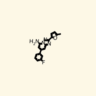 Cc1ccc(-c2nc3cc(-c4cccc(F)c4)cc(N)n3n2)o1